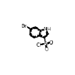 O=S(=O)(Cl)c1c[nH]c2cc(Br)ccc12